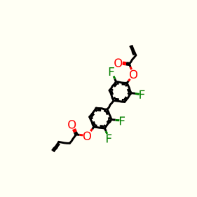 C=CCC(=O)Oc1ccc(-c2cc(F)c(OC(=O)C=C)c(F)c2)c(F)c1F